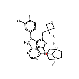 Cc1cc(N2C[C@H]3CC[C@@H](C2)C3Nc2nc(Oc3ccc(F)c(Cl)c3)n(CC3(C)COC3)n2)ncn1